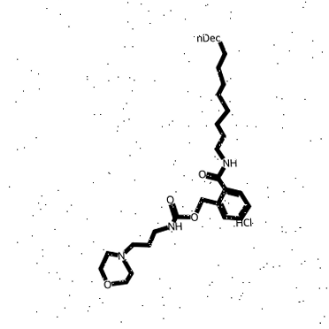 CCCCCCCCCCCCCCCCCCNC(=O)c1ccccc1COC(=O)NCCCN1CCOCC1.Cl